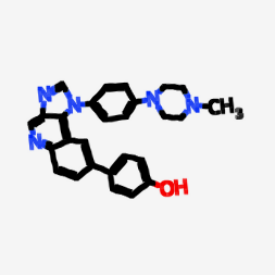 CN1CCN(c2ccc(-n3cnc4cnc5ccc(-c6ccc(O)cc6)cc5c43)cc2)CC1